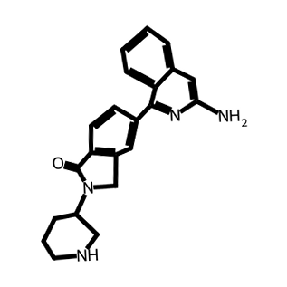 Nc1cc2ccccc2c(-c2ccc3c(c2)CN(C2CCCNC2)C3=O)n1